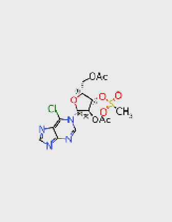 CC(=O)OC[C@H]1O[C@@H](n2cnc3ncnc-3c2Cl)[C@H](OC(C)=O)[C@H]1OS(C)(=O)=O